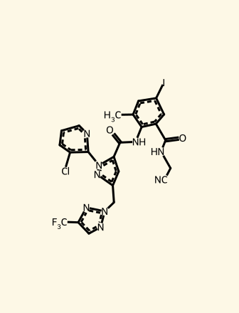 Cc1cc(I)cc(C(=O)NCC#N)c1NC(=O)c1cc(Cn2ncc(C(F)(F)F)n2)nn1-c1ncccc1Cl